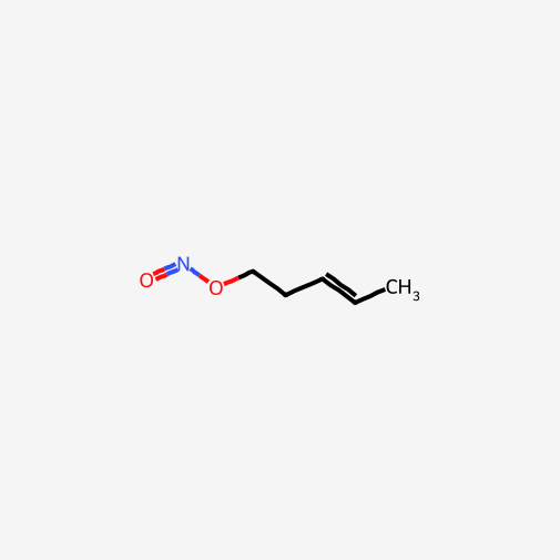 CC=CCCON=O